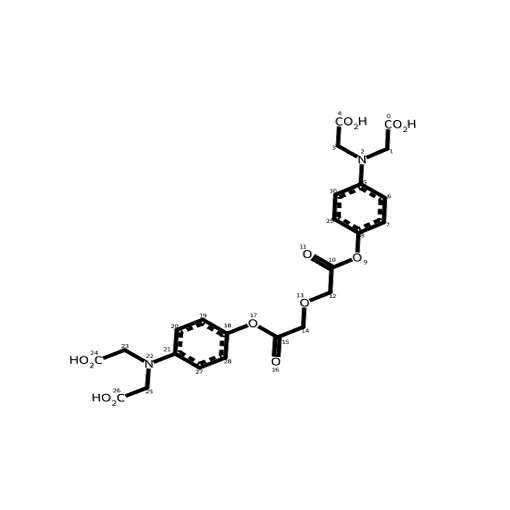 O=C(O)CN(CC(=O)O)c1ccc(OC(=O)COCC(=O)Oc2ccc(N(CC(=O)O)CC(=O)O)cc2)cc1